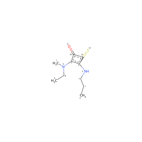 CCCNc1c(N(C)CC)c(=O)c1=S